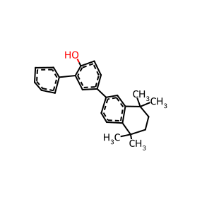 CC1(C)CCC(C)(C)c2cc(-c3ccc(O)c(-c4ccccc4)c3)ccc21